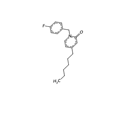 CCCCCCc1ccn(Cc2ccc(F)cc2)c(=O)c1